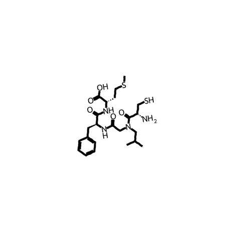 CSCC[C@H](NC(=O)[C@H](Cc1ccccc1)NC(=O)CN(CC(C)C)C(=O)[C@@H](N)CS)C(=O)O